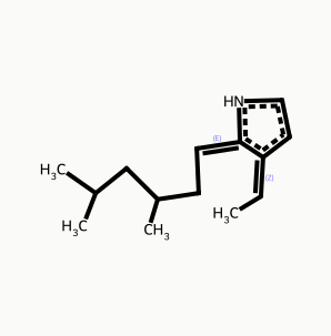 C/C=c1/cc[nH]/c1=C/CC(C)CC(C)C